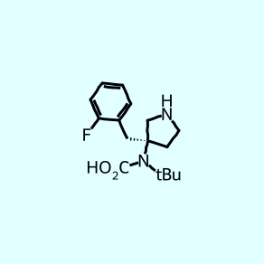 CC(C)(C)N(C(=O)O)[C@]1(Cc2ccccc2F)CCNC1